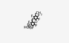 C=Cc1c(F)c(F)c(Oc2c(F)c(F)c(S(=O)(=O)O)c(F)c2F)c(F)c1F